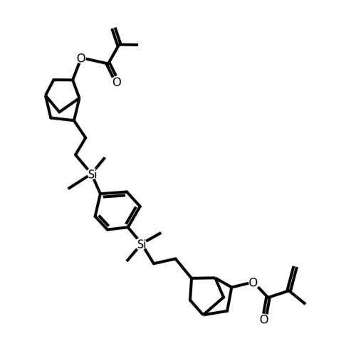 C=C(C)C(=O)OC1CC2CC(CC[Si](C)(C)c3ccc([Si](C)(C)CCC4CC5CC(OC(=O)C(=C)C)C4C5)cc3)C1C2